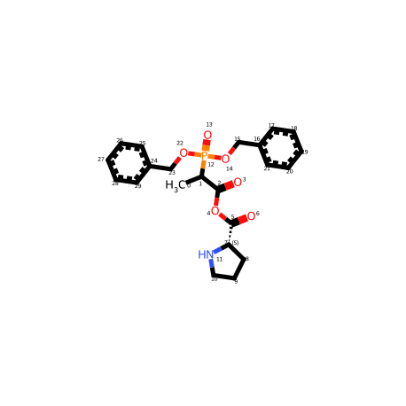 CC(C(=O)OC(=O)[C@@H]1CCCN1)P(=O)(OCc1ccccc1)OCc1ccccc1